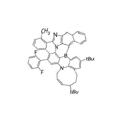 Cc1cccc2c1c1nc3c4n1c1c5c(cc(-c6c(F)cccc6F)c21)N1C/C=C\C(C(C)(C)C)CCc2cc(C(C)(C)C)cc(c21)B5C4=C1C=CC=CC1C3